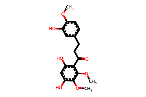 COc1ccc(CCC(=O)c2c(O)cc(O)c(OC)c2OC)cc1O